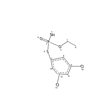 CCOP(=O)(S)Sc1cc(Cl)cc(Cl)c1